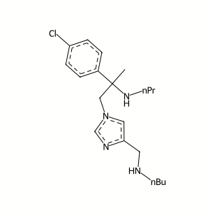 CCCCNCc1cn(CC(C)(NCCC)c2ccc(Cl)cc2)cn1